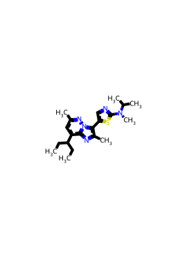 CCC(CC)c1cc(C)nn2c(-c3cnc(N(C)C(C)C)s3)c(C)nc12